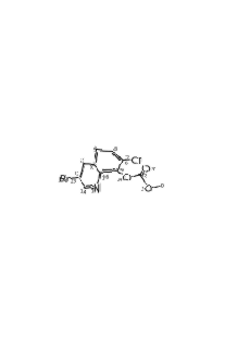 COC(=O)Oc1c(Cl)ccc2cc(Br)cnc12